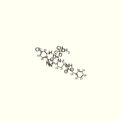 CC(C)(C)OC(=O)N1C[C@@H](NC(=O)OCc2ccccc2)CC[C@@H]1c1nnc(-c2ccc(Cl)cc2)o1